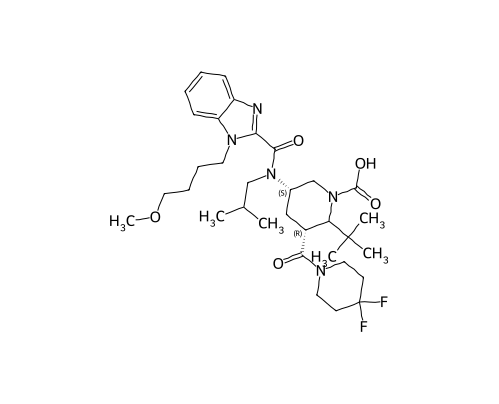 COCCCCn1c(C(=O)N(CC(C)C)[C@H]2C[C@@H](C(=O)N3CCC(F)(F)CC3)C(C(C)(C)C)N(C(=O)O)C2)nc2ccccc21